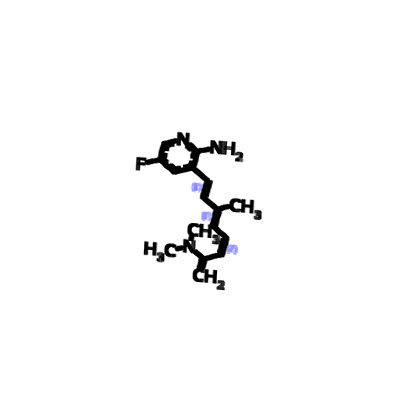 C=C(\C=C/C=C(C)/C=C/c1cc(F)cnc1N)N(C)C